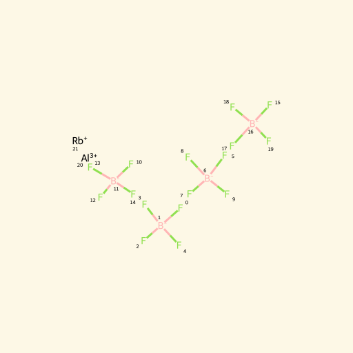 F[B-](F)(F)F.F[B-](F)(F)F.F[B-](F)(F)F.F[B-](F)(F)F.[Al+3].[Rb+]